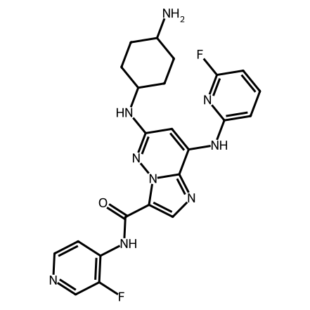 NC1CCC(Nc2cc(Nc3cccc(F)n3)c3ncc(C(=O)Nc4ccncc4F)n3n2)CC1